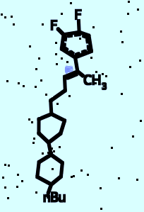 CCCCC1CCC(C2CCC(CC/C=C(\C)c3ccc(F)c(F)c3)CC2)CC1